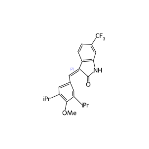 COc1c(C(C)C)cc(/C=C2\C(=O)Nc3cc(C(F)(F)F)ccc32)cc1C(C)C